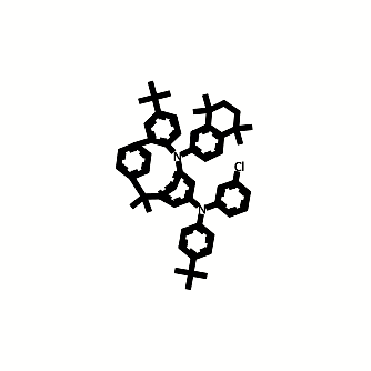 CC(C)(C)c1ccc(N(c2cccc(Cl)c2)c2cc3cc(c2)C(C)(C)c2ccc(cc2)-c2cc(C(C)(C)C)ccc2N3c2ccc3c(c2)C(C)(C)CCC3(C)C)cc1